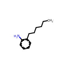 [CH2]CCCCCc1ccccc1N